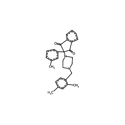 Cc1cccc(C2(N3CCN(Cc4ccc(C)cc4C)CC3)C(=O)c3ccccc3C2=O)c1